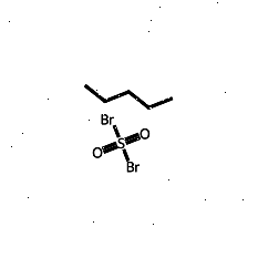 CCCCC.O=S(=O)(Br)Br